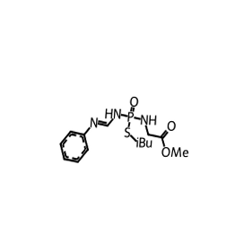 CCC(C)SP(=O)(NC=Nc1ccccc1)NCC(=O)OC